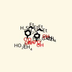 C.C.C.C.CCC=C(CC)[SiH2]c1ccc(C(=O)OO)cc1.CCC=C(CC)[SiH2]c1ccc(C(=O)OO)cc1.O=C(O)O.O=C(O)O